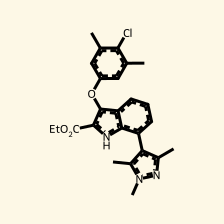 CCOC(=O)c1[nH]c2c(-c3c(C)nn(C)c3C)cccc2c1Oc1cc(C)c(Cl)c(C)c1